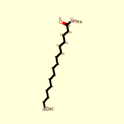 CCCCCCCCCCCCCCCCCCCCCCCCC(=O)CCCCCC